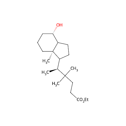 CCOC(=O)CCC(C)(C)[C@@H](C)C1CCC2[C@@H](O)CCC[C@@]21C